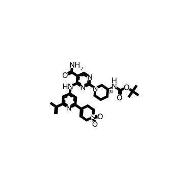 C=C(C)c1cc(Nc2nc(N3CCC[C@H](NC(=O)OC(C)(C)C)C3)ncc2C(N)=O)cc(C2=CCS(=O)(=O)CC2)n1